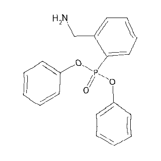 NCc1ccccc1P(=O)(Oc1ccccc1)Oc1ccccc1